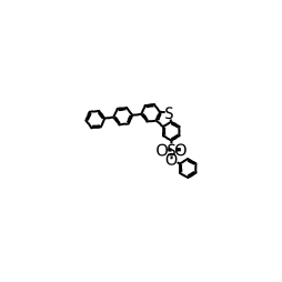 O=S(=O)(Oc1ccccc1)c1ccc2sc3ccc(-c4ccc(-c5ccccc5)cc4)cc3c2c1